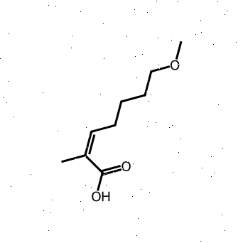 COCCCCC=C(C)C(=O)O